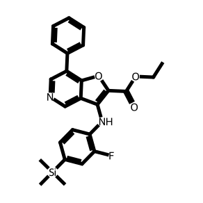 CCOC(=O)c1oc2c(-c3ccccc3)cncc2c1Nc1ccc([Si](C)(C)C)cc1F